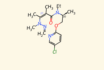 C=NN(C)/C(C)=C(/C)C(=O)N(CC)[C@@H](C)COc1ccc(Cl)cn1